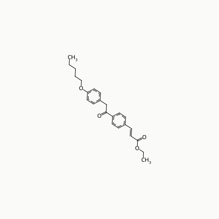 CCCCCOc1ccc(CC(=O)c2ccc(/C=C/C(=O)OCC)cc2)cc1